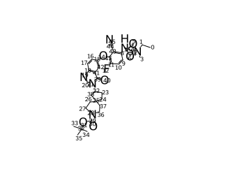 CCN(C)S(=O)(=O)Nc1ccc(F)c(Oc2ccc3ncn([C@@H]4CCC5(CCN(C(=O)OC(C)(C)C)CC5)C4)c(=O)c3c2)c1C#N